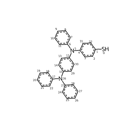 Sc1ccc(N(c2ccccc2)c2ccc(N(c3ccccc3)c3ccccc3)cc2)cc1